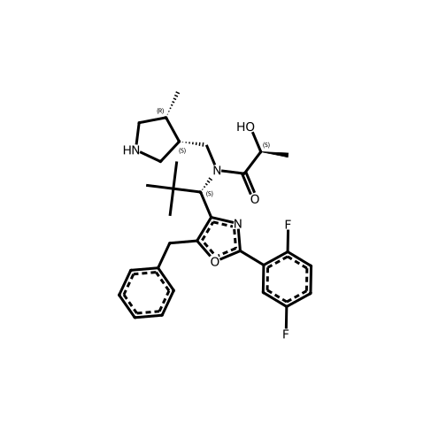 C[C@H](O)C(=O)N(C[C@@H]1CNC[C@@H]1C)[C@H](c1nc(-c2cc(F)ccc2F)oc1Cc1ccccc1)C(C)(C)C